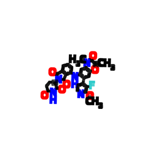 COc1nccc(-c2cc3c(cc2Nc2cccc4c2C(=O)N([C@H]2CCC(=O)NC2=O)C4=O)N(C)C(=O)[C@@H](C)O3)c1F